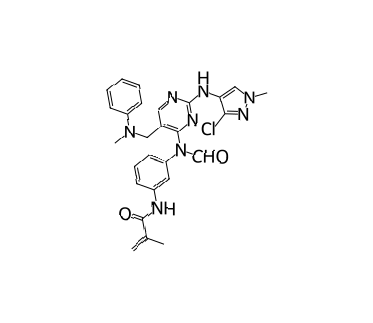 C=C(C)C(=O)Nc1cccc(N(C=O)c2nc(Nc3cn(C)nc3Cl)ncc2CN(C)c2ccccc2)c1